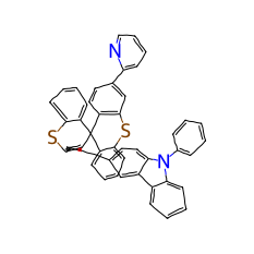 c1ccc(-n2c3ccccc3c3cc(-c4cccc5c4C4(c6ccccc6Sc6cc(-c7ccccn7)ccc64)c4ccccc4S5)ccc32)cc1